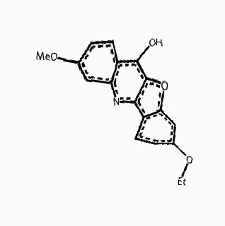 CCOc1ccc2c(c1)oc1c(O)c3ccc(OC)cc3nc12